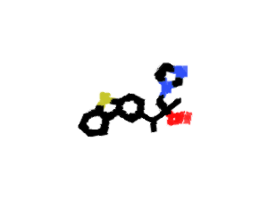 CC(c1ccc2sc3ccccc3c2c1)C(C)(O)Cn1ccnc1